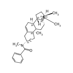 C[C@H]1[C@H]2CC[C@H]3[C@@H]4CC=C5C[C@@H](N(C)C(=O)c6ccccc6)CC[C@]5(C)C4CC[C@]23CN1C